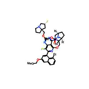 CCc1cccc2cc(OCOC)cc(-c3nc4c5c(nc(OC[C@@]67CCCN6C[C@H](F)C7)nc5c3F)N3C[C@H]5CC[C@@H]([C@@H]3CO4)N5C(=O)OC(C)(C)C)c12